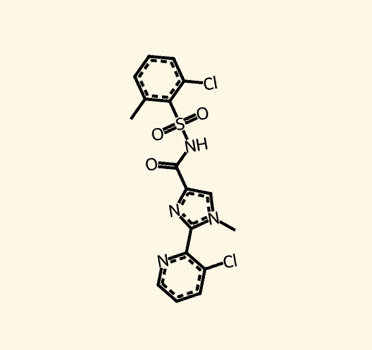 Cc1cccc(Cl)c1S(=O)(=O)NC(=O)c1cn(C)c(-c2ncccc2Cl)n1